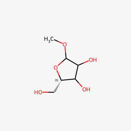 COC1O[C@@H](CO)C(O)C1O